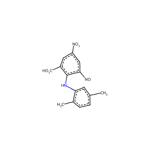 Cc1ccc(C)c(Nc2c(N=O)cc([N+](=O)[O-])cc2C(=O)O)c1